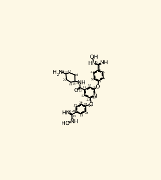 N=C(NO)c1ccc(Oc2cc(C(=O)NC3CCC(N)CC3)cc(Oc3ccc(C(=N)NO)cc3)n2)cc1